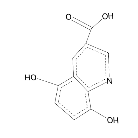 O=C(O)c1cnc2c(O)ccc(O)c2c1